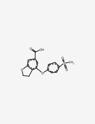 CS(=O)(=O)c1ccc(Oc2cc(C(=O)O)cc3c2CCO3)cc1